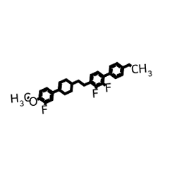 CCc1ccc(-c2ccc(CCC3CC=C(c4ccc(OC)c(F)c4)CC3)c(F)c2F)cc1